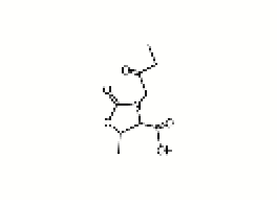 CCC(=O)CN1C(=O)OC(C)C1C(=O)O